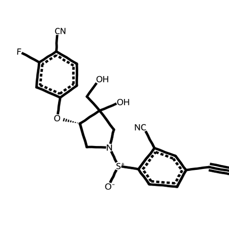 C#Cc1ccc([S+]([O-])N2C[C@H](Oc3ccc(C#N)c(F)c3)C(O)(CO)C2)c(C#N)c1